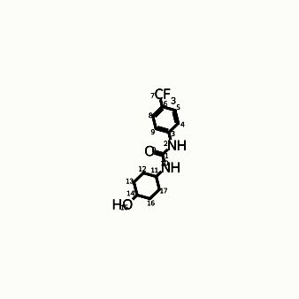 O=C(Nc1ccc(C(F)(F)F)cc1)NC1CCC(O)CC1